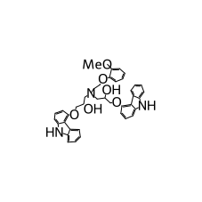 COc1ccccc1OCCN(CC(O)COc1cccc2[nH]c3ccccc3c12)CC(O)COc1cccc2[nH]c3ccccc3c12